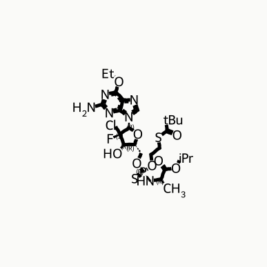 CCOc1nc(N)nc2c1ncn2[C@@H]1O[C@H](CO[P@](=S)(N[C@H](C)C(=O)OC(C)C)OCCSC(=O)C(C)(C)C)[C@@H](O)[C@]1(F)Cl